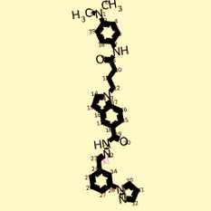 CN(C)c1ccc(NC(=O)CCCn2ccc3cc(C(=O)N/N=C/c4cccc(-n5cccn5)c4)ccc32)cc1